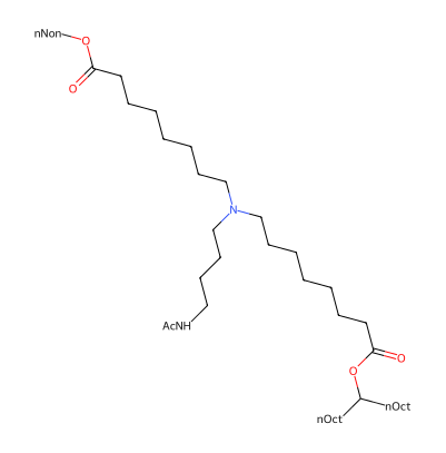 CCCCCCCCCOC(=O)CCCCCCCN(CCCCCCCC(=O)OC(CCCCCCCC)CCCCCCCC)CCCCNC(C)=O